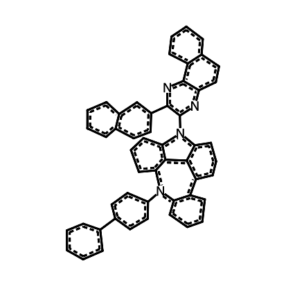 c1ccc(-c2ccc(-n3c4ccccc4c4cccc5c4c4c3cccc4n5-c3nc4ccc5ccccc5c4nc3-c3ccc4ccccc4c3)cc2)cc1